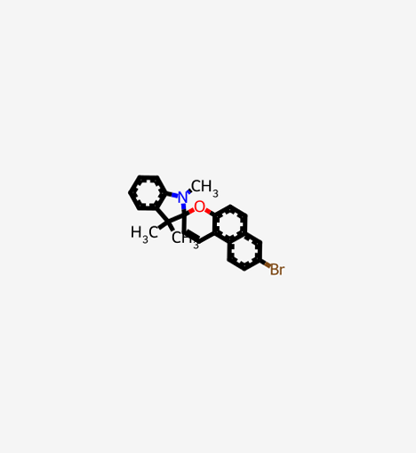 CN1c2ccccc2C(C)(C)C12C=Cc1c(ccc3cc(Br)ccc13)O2